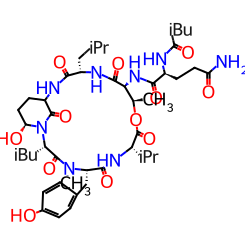 CCC(C)C(=O)N[C@@H](CCC(N)=O)C(=O)N[C@@H]1C(=O)N[C@@H](CC(C)C)C(=O)NC2CC[C@H](O)N(C2=O)[C@@H](C(C)CC)C(=O)N(C)[C@@H](Cc2ccc(O)cc2)C(=O)N[C@@H](C(C)C)C(=O)O[C@@H]1C